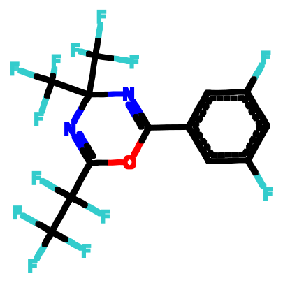 Fc1cc(F)cc(C2=NC(C(F)(F)F)(C(F)(F)F)N=C(C(F)(F)C(F)(F)F)O2)c1